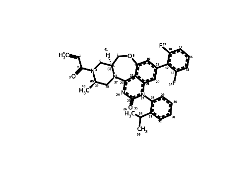 C=CC(=O)N1C[C@H]2COc3cc(-c4c(F)cccc4F)cc4c3c(nc(=O)n4-c3ccccc3C(C)C)N2C[C@H]1C